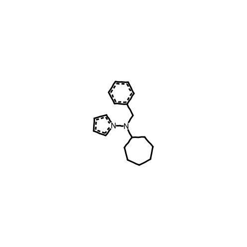 c1ccc(CN(C2CCCCCC2)n2cccc2)cc1